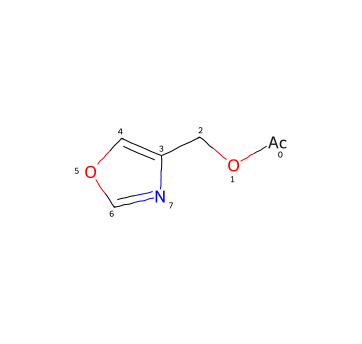 CC(=O)OCc1cocn1